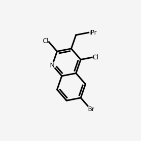 CC(C)Cc1c(Cl)nc2ccc(Br)cc2c1Cl